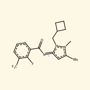 Cn1c(C(C)(C)C)c/c(=N/C(=O)c2cccc(C(F)(F)F)c2F)n1CC1CCC1